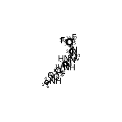 O=C(NC12CC(C1)C2)O[C@@H]1CC[C@H](c2cc(Nc3nccn4nc(-c5cc(F)cc(F)c5)cc34)n[nH]2)[C@H]1F